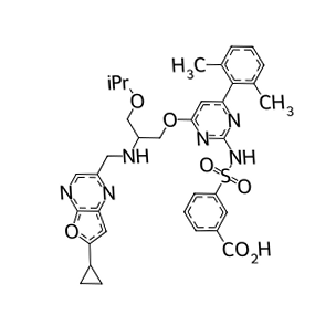 Cc1cccc(C)c1-c1cc(OCC(COC(C)C)NCc2cnc3oc(C4CC4)cc3n2)nc(NS(=O)(=O)c2cccc(C(=O)O)c2)n1